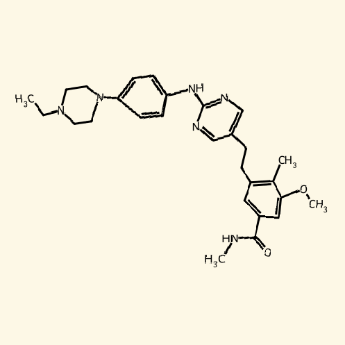 CCN1CCN(c2ccc(Nc3ncc(CCc4cc(C(=O)NC)cc(OC)c4C)cn3)cc2)CC1